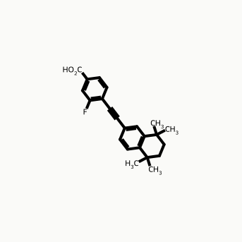 CC1(C)CCC(C)(C)c2cc(C#Cc3ccc(C(=O)O)cc3F)ccc21